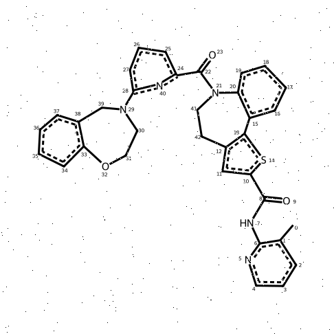 Cc1cccnc1NC(=O)c1cc2c(s1)-c1ccccc1N(C(=O)c1cccc(N3CCOc4ccccc4C3)n1)CC2